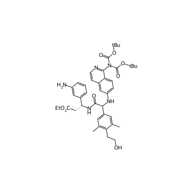 CCOC(=O)C[C@@H](NC(=O)C(Nc1ccc2c(N(C(=O)OC(C)(C)C)C(=O)OC(C)(C)C)nccc2c1)c1cc(C)c(CCO)c(C)c1)c1cccc(N)c1